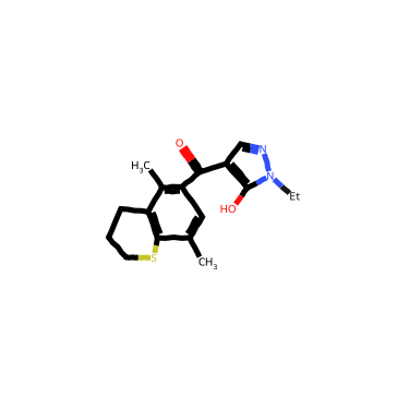 CCn1ncc(C(=O)c2cc(C)c3c(c2C)CCCS3)c1O